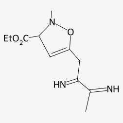 CCOC(=O)C1C=C(CC(=N)C(C)=N)ON1C